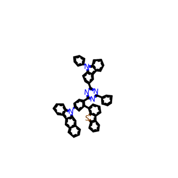 c1ccc(-c2nc(-c3ccc4c(c3)c3ccccc3n4-c3ccccc3)nc(-c3ccc(-n4c5ccccc5c5cc6ccccc6cc54)cc3-c3cccc4c3sc3ccccc34)n2)cc1